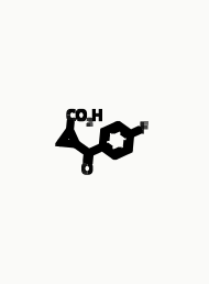 O=C(O)C1CC1C(=O)c1ccc(F)cc1